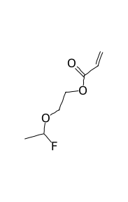 C=CC(=O)OCCOC(C)F